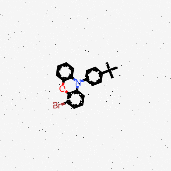 CC(C)(C)c1ccc(N2c3ccccc3Oc3c(Br)cccc32)cc1